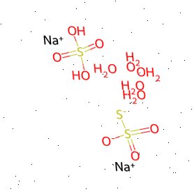 O.O.O.O.O.O=S(=O)(O)O.O=S(=O)([O-])[S-].[Na+].[Na+]